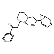 CN1C(CC(=O)c2ccccc2)CCCC1CC(O)C12C=CC=CC1S2